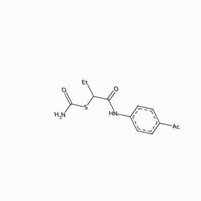 CCC(SC(N)=O)C(=O)Nc1ccc(C(C)=O)cc1